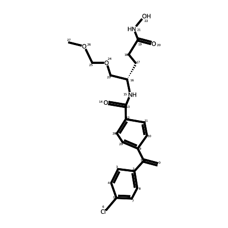 C=C(c1ccc(Cl)cc1)c1ccc(C(=O)N[C@@H](CCC(=O)NO)COCOC)cc1